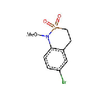 CON1c2ccc(Br)cc2CCS1(=O)=O